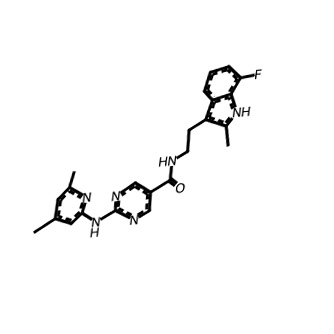 Cc1cc(C)nc(Nc2ncc(C(=O)NCCc3c(C)[nH]c4c(F)cccc34)cn2)c1